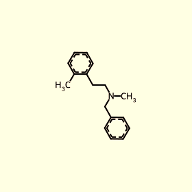 Cc1ccccc1CCN(C)Cc1ccccc1